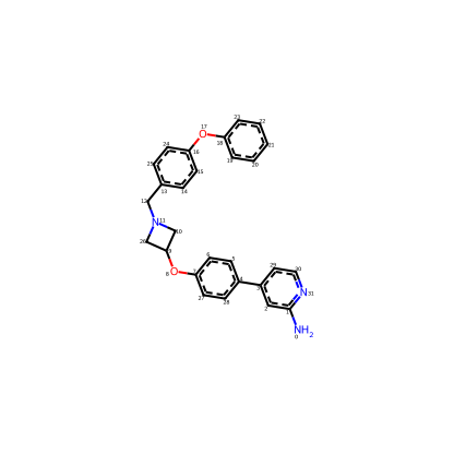 Nc1cc(-c2ccc(OC3CN(Cc4ccc(Oc5ccccc5)cc4)C3)cc2)ccn1